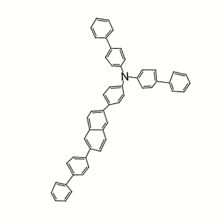 c1ccc(-c2ccc(-c3ccc4cc(-c5ccc(N(c6ccc(-c7ccccc7)cc6)c6ccc(-c7ccccc7)cc6)cc5)ccc4c3)cc2)cc1